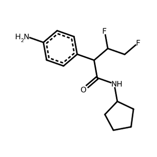 Nc1ccc(C(C(=O)NC2CCCC2)C(F)CF)cc1